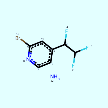 FC(F)C(F)c1ccnc(Br)c1.N